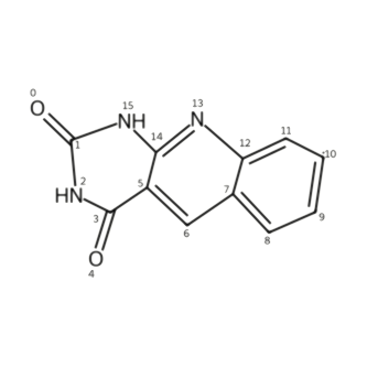 O=c1[nH]c(=O)c2cc3cc[c]cc3nc2[nH]1